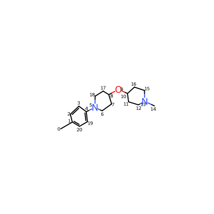 Cc1ccc(N2CCC(OC3CCN(C)CC3)CC2)cc1